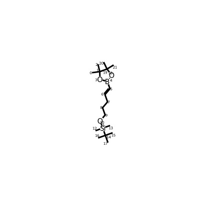 CC1(C)OB(C=CCCCO[Si](C)(C)C(C)(C)C)OC1(C)C